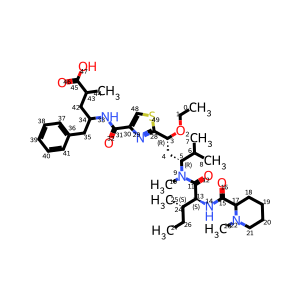 CCO[C@H](C[C@H](C(C)C)N(C)C(=O)[C@@H](NC(=O)C1CCCCN1C)[C@@H](C)CC)c1nc(C(=O)NC(Cc2ccccc2)CC(C)C(=O)O)cs1